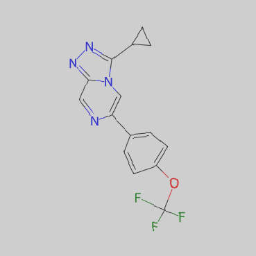 FC(F)(F)Oc1ccc(-c2cn3c(C4CC4)nnc3cn2)cc1